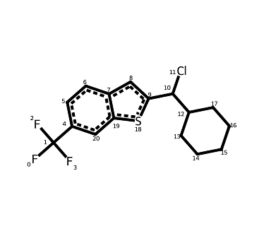 FC(F)(F)c1ccc2cc(C(Cl)C3CCCCC3)sc2c1